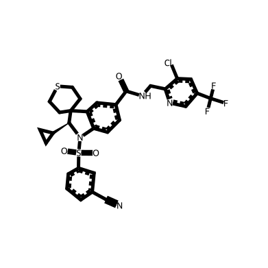 N#Cc1cccc(S(=O)(=O)N2c3ccc(C(=O)NCc4ncc(C(F)(F)F)cc4Cl)cc3C3(CCSCC3)[C@@H]2C2CC2)c1